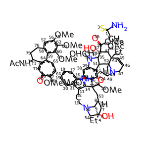 CC(N)=S.CC[C@]1(O)C[C@H]2C[N@](CCc3c([nH]c4ccccc34)[C@@](C(=O)OC)(c3cc4c(cc3OC)N(C=O)[C@H]3[C@@](O)(C(=O)OC)[C@H](OC(C)=O)[C@]5(CC)C=CCN6CC[C@]43[C@@H]65)C2)C1.COc1cc2c(c(OC)c1OC)-c1ccc(OC)c(=O)cc1[C@@H](NC(C)=O)CC2